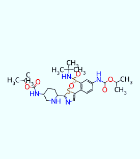 CC(C)OC(=O)Nc1ccc(-c2cnc(C3CCC(NC(=O)OC(C)C)CN3)s2)c(S(=O)(=O)NC(C)(C)C)c1